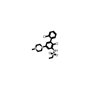 CCS(=O)(=O)Nc1cc(N2CCN(C)CC2)cc(-c2ccccc2Cl)c1Cl